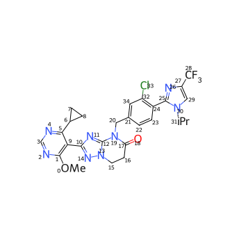 COc1ncnc(C2CC2)c1-c1nc2n(n1)CCC(=O)N2Cc1ccc(-c2nc(C(F)(F)F)cn2C(C)C)c(Cl)c1